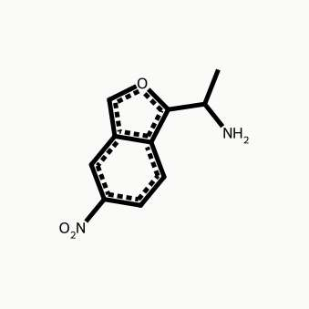 CC(N)c1occ2cc([N+](=O)[O-])ccc12